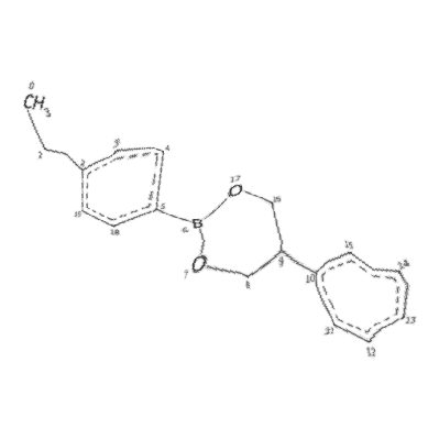 CCc1ccc(B2OCC(c3ccccc3)CO2)cc1